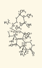 C=C(CC[C@@H](C)[C@H]1CC[C@H]2C3=C(C(=O)C[C@]12C)[C@@]1(C)CCC(=O)[C@@H](C)[C@@H]1CC3=O)C(C)C(=O)O